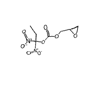 CCC(OC(=O)OCC1CO1)([N+](=O)[O-])[N+](=O)[O-]